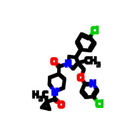 CC1(C(=O)N2CCC(C(=O)N3CC(c4ccc(Cl)cc4)C(C)(COc4ccc(Cl)cn4)C3)CC2)CC1